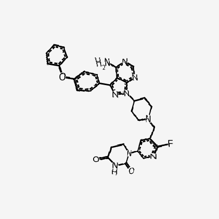 Nc1ncnc2c1c(-c1ccc(Oc3ccccc3)cc1)nn2C1CCN(Cc2cc(N3CCC(=O)NC3=O)cnc2F)CC1